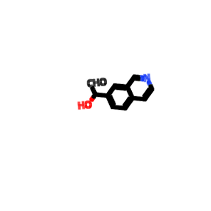 O=CC(O)c1ccc2ccncc2c1